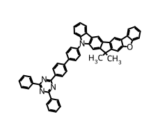 CC1(C)c2cc3oc4ccccc4c3cc2-c2cc3c4ccccc4n(-c4ccc(-c5ccc(-c6nc(-c7ccccc7)nc(-c7ccccc7)n6)cc5)cc4)c3cc21